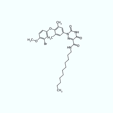 CCCCCCCCCCCNC(=O)c1nn(-c2cc(C)c(Oc3ccc(OC)c(Br)c3)c(C)c2)c(=O)[nH]c1=O